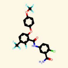 NC(=O)c1cc(NC(=O)c2c(Oc3ccc(OC(F)(F)F)cc3)ccc(C(F)(F)F)c2F)ccc1Cl